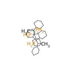 CC(C1CCCCC1)C(P)(C1CCCCC1)C1CCCCC1(P)C(P)(C1CCCCC1)C(C)C1CCCCC1